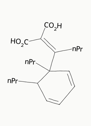 CCCC(=C(C(=O)O)C(=O)O)C1(CCC)C=CC=CC1CCC